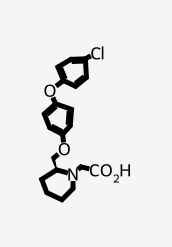 O=C(O)CN1CCCC[C@H]1COc1ccc(Oc2ccc(Cl)cc2)cc1